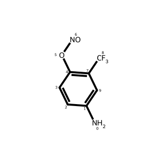 Nc1ccc(ON=O)c(C(F)(F)F)c1